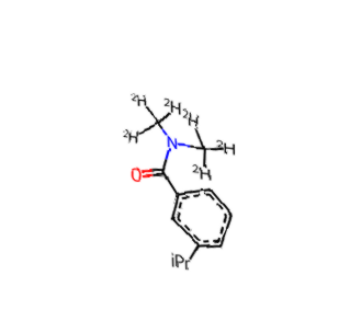 [2H]C([2H])([2H])N(C(=O)c1cccc(C(C)C)c1)C([2H])([2H])[2H]